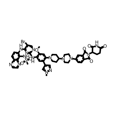 COc1cc(N2CCC(N3CCN(c4ccc5c(c4)C(=O)N(C4CCC(=O)NC4=O)C5=O)CC3)CC2)c(-c2cnn(C)c2)cc1Nc1ncc(Br)c(Nc2ccc3nccnc3c2NS(C)(=O)=O)n1